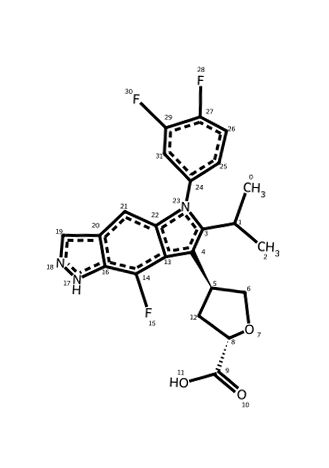 CC(C)c1c([C@H]2CO[C@H](C(=O)O)C2)c2c(F)c3[nH]ncc3cc2n1-c1ccc(F)c(F)c1